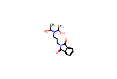 CC(O)N(CCCN1C(=O)c2ccccc2C1=O)C(C)O